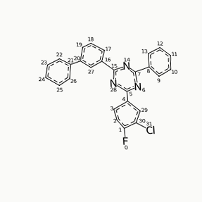 Fc1ccc(-c2nc(-c3ccccc3)nc(-c3cccc(-c4ccccc4)c3)n2)cc1Cl